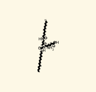 CCCCCCCCCCCCCCOC(=O)[C@H](CCCCNC(=O)CCCCCCCCCCC)NC(=O)C(N)CCCC(=O)O